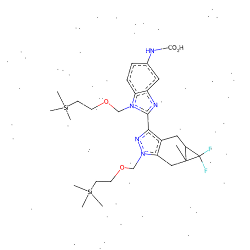 CC12Cc3c(c(-c4nc5cc(NC(=O)O)ccc5n4COCC[Si](C)(C)C)nn3COCC[Si](C)(C)C)CC1C2(F)F